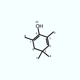 CC1=CC(C)(C)CC(C)=C1O